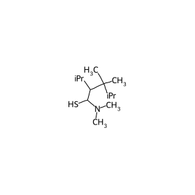 CC(C)C(C(S)N(C)C)C(C)(C)C(C)C